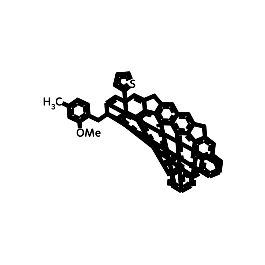 COc1cc(C)ccc1CC12C3=CC4(c5cccs5)C=C5Cc6cc7cc8c9c%10c(cc%11cc(c1c1c%11c%10c%10c1c1c2c4c2c5c6c4c7c9c%10c4c21)C3)C8